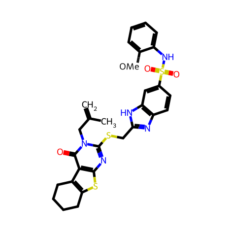 C=C(C)Cn1c(SCc2nc3ccc(S(=O)(=O)Nc4ccccc4OC)cc3[nH]2)nc2sc3c(c2c1=O)CCCC3